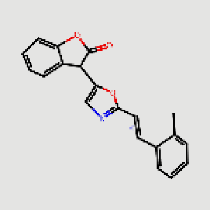 Cc1ccccc1/C=C/c1ncc(C2C(=O)Oc3ccccc32)o1